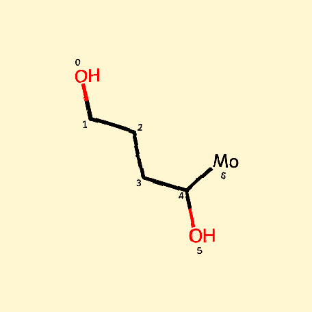 OCCC[CH](O)[Mo]